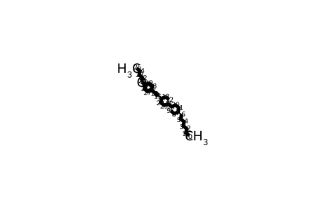 CCCCCCC[C@H]1CC[C@H]([C@H]2CC[C@H](C#Cc3ccc(OCCCC)cc3)CC2)CC1